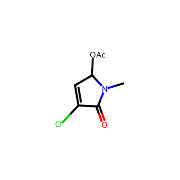 CC(=O)OC1C=C(Cl)C(=O)N1C